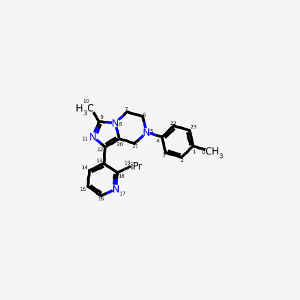 Cc1ccc(N2CCn3c(C)nc(-c4cccnc4C(C)C)c3C2)cc1